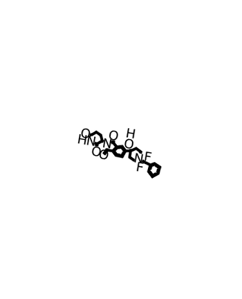 O=C1CCC(N2C(=O)c3ccc(C4(O)CCN(C(F)(F)c5ccccc5)CC4)cc3C2=O)C(=O)N1